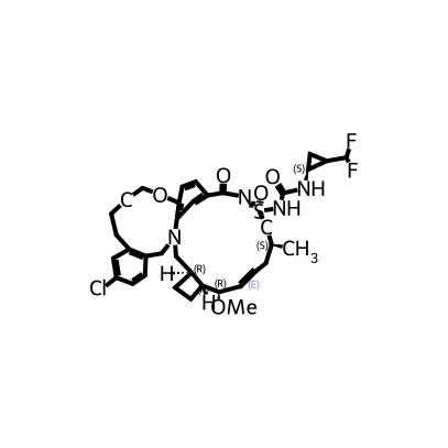 CO[C@H]1/C=C/C[C@H](C)CS(=O)(NC(=O)N[C@H]2CC2C(F)F)=NC(=O)c2ccc3c(c2)N(Cc2ccc(Cl)cc2CCCCO3)C[C@@H]2CC[C@H]21